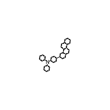 c1ccc(N(c2ccccc2)c2ccc(-c3ccc4ccc5c6ccccc6ccc5c4c3)cc2)cc1